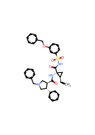 C=C[C@@H]1C[C@]1(NC(=O)[C@@H]1CN(Cc2ccccc2)C[C@H]1c1ccccc1)C(=O)NS(=O)(=O)c1cccc(OCc2ccccc2)c1